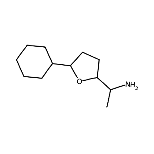 CC(N)C1CCC(C2CCCCC2)O1